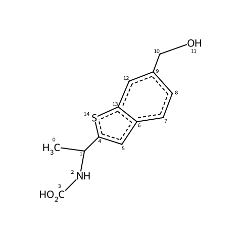 CC(NC(=O)O)c1cc2ccc(CO)cc2s1